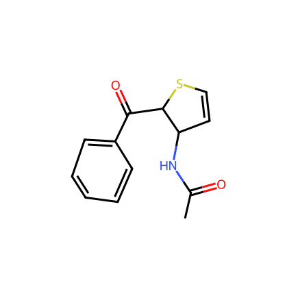 CC(=O)NC1C=CSC1C(=O)c1ccccc1